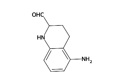 Nc1cccc2c1CCC(C=O)N2